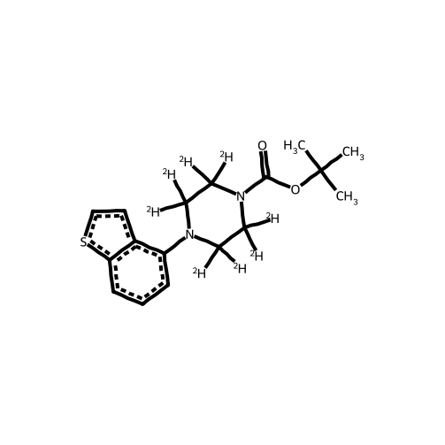 [2H]C1([2H])N(C(=O)OC(C)(C)C)C([2H])([2H])C([2H])([2H])N(c2cccc3sccc23)C1([2H])[2H]